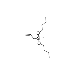 C=CC[Si](C)(OCCCC)OCCCC